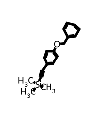 C[Si](C)(C)C#Cc1ccc(OCc2ccccc2)cc1